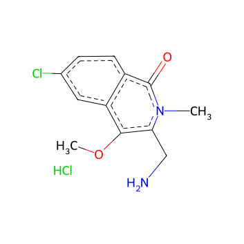 COc1c(CN)n(C)c(=O)c2ccc(Cl)cc12.Cl